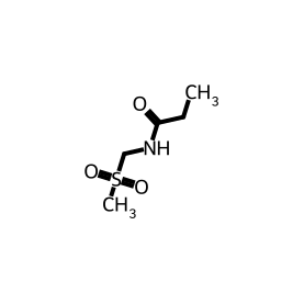 CCC(=O)NCS(C)(=O)=O